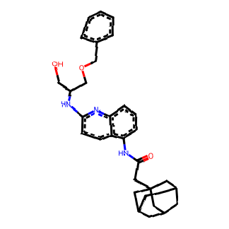 O=C(CC12CC3CC(CC(C3)C1)C2)Nc1cccc2nc(NC(CO)COCc3ccccc3)ccc12